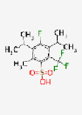 Cc1c(C(C)C)c(F)c(C(C)C)c(C(F)(F)F)c1S(=O)(=O)O